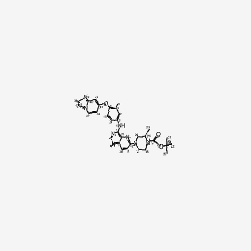 Cc1cc(Nc2ncnc3ccc(N4CCN(C(=O)OC(C)(C)C)[C@H](C)C4)nc23)ccc1Oc1ccn2ncnc2c1